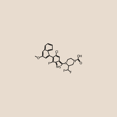 COc1cc(-c2c(Cl)cc3c(N4CCN(C(=O)O)CC4C(F)F)snc3c2F)c2ccccc2c1